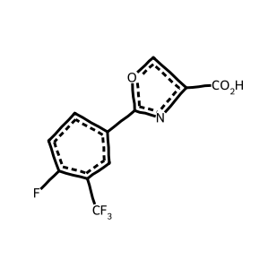 O=C(O)c1coc(-c2ccc(F)c(C(F)(F)F)c2)n1